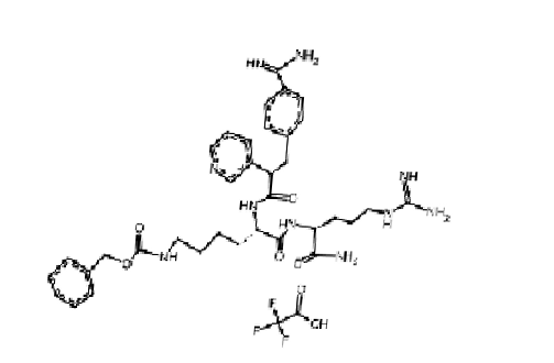 N=C(N)NCCC[C@H](NC(=O)[C@H](CCCCNC(=O)OCc1ccccc1)NC(=O)[C@H](Cc1ccc(C(=N)N)cc1)c1cccnc1)C(N)=O.O=C(O)C(F)(F)F